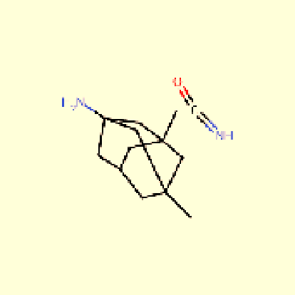 CC12CC3CC(C)(C1)CC(N)(C3)C2.N=C=O